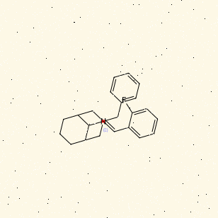 Fc1ccccc1/C=C/C1C2CCCC1CN(Cc1ccccc1)C2